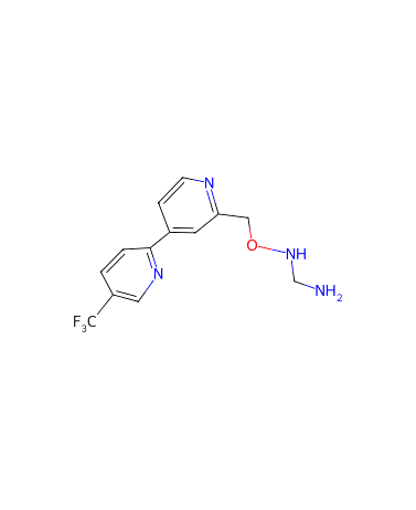 NCNOCc1cc(-c2ccc(C(F)(F)F)cn2)ccn1